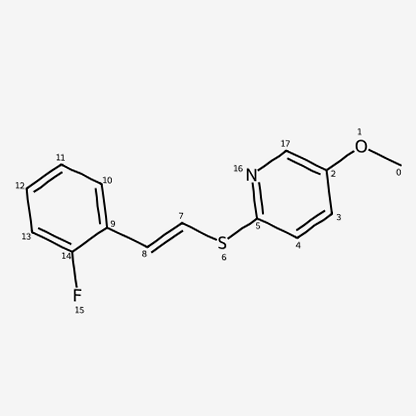 COc1ccc(S/C=C/c2ccccc2F)nc1